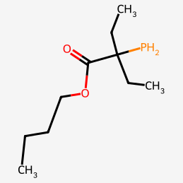 CCCCOC(=O)C(P)(CC)CC